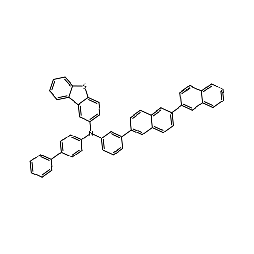 c1ccc(-c2ccc(N(c3cccc(-c4ccc5cc(-c6ccc7ccccc7c6)ccc5c4)c3)c3ccc4sc5ccccc5c4c3)cc2)cc1